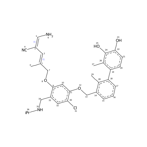 C/C(=C\C(C#N)=C/N)COc1cc(OCc2cccc(-c3ccc(O)c(O)c3C)c2C)c(Cl)cc1CNC(C)C